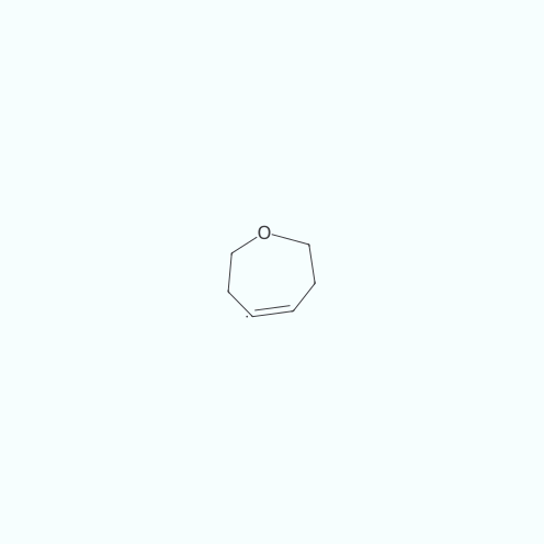 [C]1=CCCOCC1